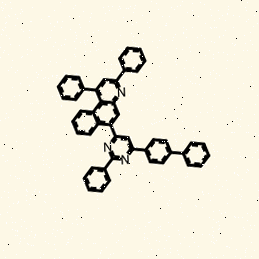 c1ccc(-c2ccc(-c3cc(-c4cc5nc(-c6ccccc6)cc(-c6ccccc6)c5c5ccccc45)nc(-c4ccccc4)n3)cc2)cc1